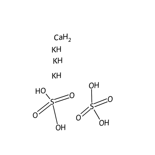 O=S(=O)(O)O.O=S(=O)(O)O.[CaH2].[KH].[KH].[KH]